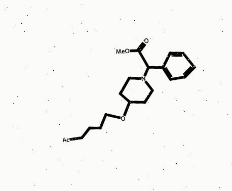 COC(=O)C(c1ccccc1)N1CCC(OCCCCC(C)=O)CC1